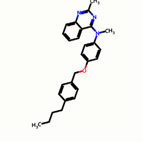 CCCCc1ccc(COc2ccc(N(C)c3nc(C)nc4ccccc34)cc2)cc1